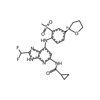 CS(=O)(=O)c1cc([C@H]2CCCO2)ccc1Nc1cc(NC(=O)C2CC2)nc2[nH]c(C(F)F)nc12